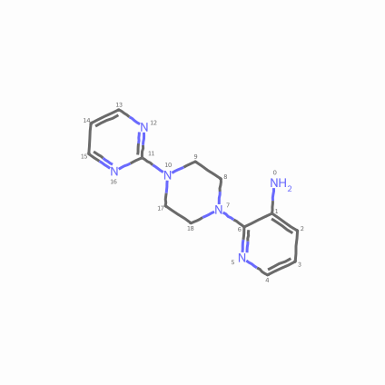 Nc1cccnc1N1CCN(c2ncccn2)CC1